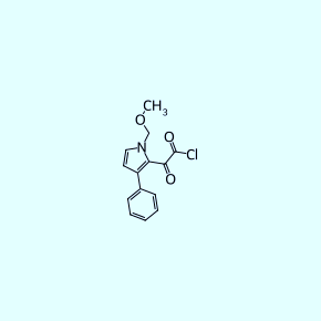 COCn1ccc(-c2ccccc2)c1C(=O)C(=O)Cl